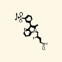 Cc1c(-c2cccc(S(=O)(=O)N(C)C)c2)c2ncccc2n1C/C(F)=C/CNCl